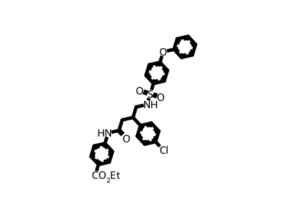 CCOC(=O)c1ccc(NC(=O)CC(CNS(=O)(=O)c2ccc(Oc3ccccc3)cc2)c2ccc(Cl)cc2)cc1